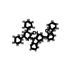 CN1C(n2c3ccccc3c3cc(-c4cccc5c4oc4ccccc45)ccc32)=NC(c2ccccc2)=CC1c1ccccc1